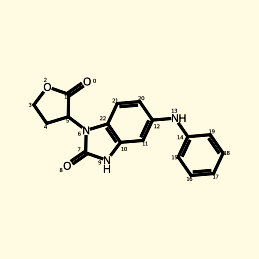 O=C1OCCC1n1c(=O)[nH]c2cc(Nc3ccccc3)ccc21